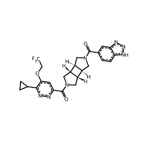 O=C(c1ccc2[nH]nnc2c1)N1C[C@@H]2[C@H](C1)[C@H]1CN(C(=O)c3cc(OCC(F)(F)F)c(C4CC4)nn3)C[C@@H]21